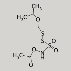 CC(=O)ONS(=O)(=O)SSCOC(C)C